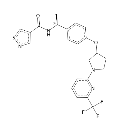 C[C@H](NC(=O)c1cnsc1)c1ccc(OC2CCN(c3cccc(C(F)(F)F)n3)C2)cc1